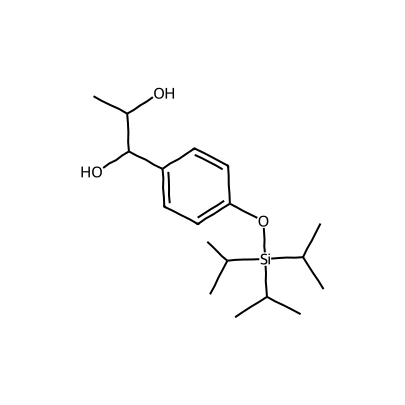 CC(O)C(O)c1ccc(O[Si](C(C)C)(C(C)C)C(C)C)cc1